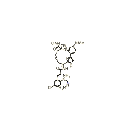 CNC1C=C2NC(C(=O)OC)(C(F)(F)F)CCCCC[C@H](NC(=O)/C=C/c3cc(Cl)ccc3N(N)/C=N\N)c3nc(c[nH]3)C2=CC1